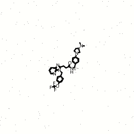 C[C@H](NC(=O)CCc1nc2cccnc2n1Cc1ccc(OC(F)(F)F)cc1)c1ccc(N2CC[C@H](N(C)C)C2)cc1